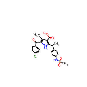 Cc1c(C(=O)c2ccc(Cl)cc2)[nH]c(C(C)c2ccc(NS(C)(=O)=O)cc2)c1C(=O)O